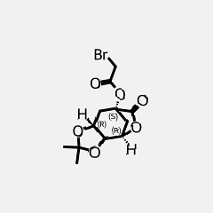 CC1(C)OC2[C@H]3C[C@@](OC(=O)CBr)(C[C@H]2O1)C(=O)O3